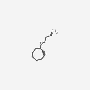 C=CCCOC1C#CCCCCC1